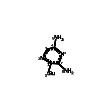 CC(C)(C)c1ncc(N)nc1N